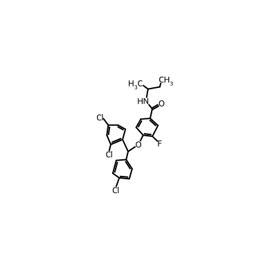 CCC(C)NC(=O)c1ccc(OC(c2ccc(Cl)cc2)c2ccc(Cl)cc2Cl)c(F)c1